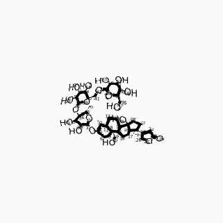 C[C@@H]1O[C@H](O[C@H]2CC[C@@]3(CO)C(CCC4C3CC[C@]3(C)[C@@H](C5=CC(=O)OC5)CC[C@]43O)C2)[C@H](O)[C@@H](O)[C@@H]1OC1O[C@H](COC2O[C@H](CO)[C@@H](O)[C@H](O)[C@H]2O)[C@@H](O)[C@H](O)[C@H]1O